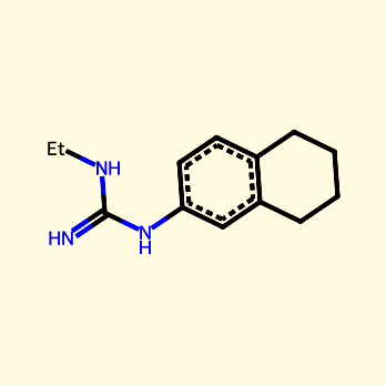 CCNC(=N)Nc1ccc2c(c1)CCCC2